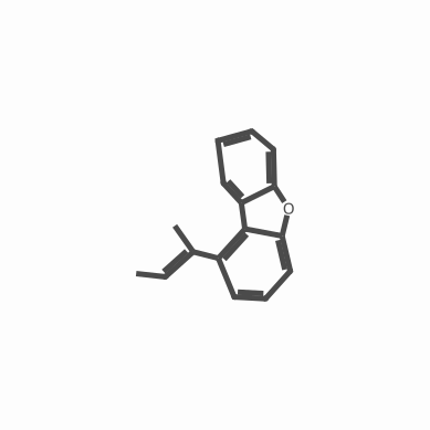 C/C=C(\C)c1cccc2oc3ccccc3c12